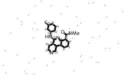 CNC(=O)c1cccc2c1nc(Nc1cccc(C)c1)c1ccncc12